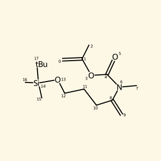 C=C(C)OC(=O)N(C)C(=C)CCCO[Si](C)(C)C(C)(C)C